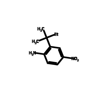 CCC(C)(C)c1cc([N+](=O)[O-])ccc1N